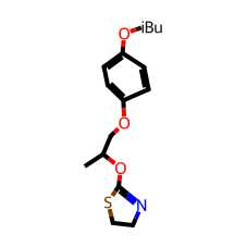 CCC(C)Oc1ccc(OCC(C)OC2=NCCS2)cc1